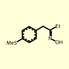 CCC(Cc1ccc(SC)cc1)=NO